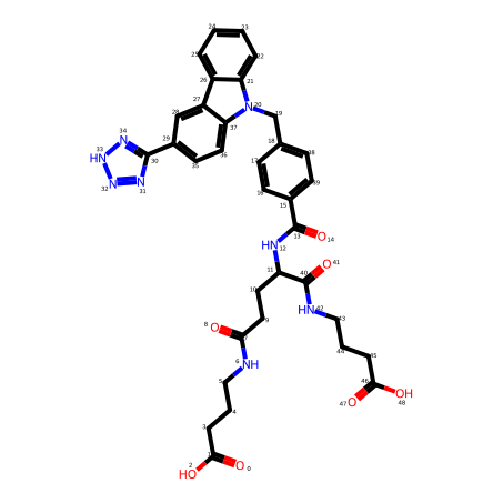 O=C(O)CCCNC(=O)CCC(NC(=O)c1ccc(Cn2c3ccccc3c3cc(-c4nn[nH]n4)ccc32)cc1)C(=O)NCCCC(=O)O